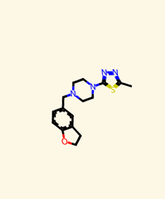 Cc1nnc(N2CCN(Cc3ccc4c(c3)CCO4)CC2)s1